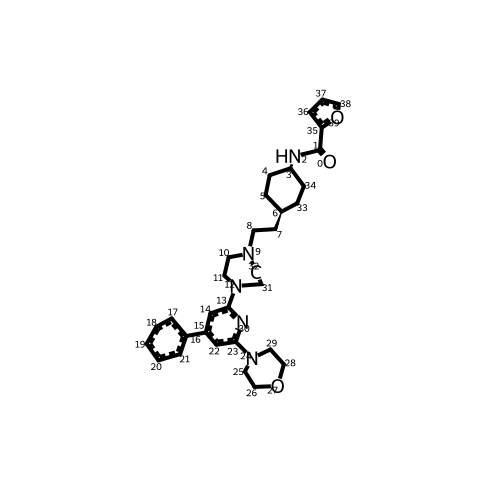 O=C(N[C@H]1CC[C@H](CCN2CCN(c3cc(-c4ccccc4)cc(N4CCOCC4)n3)CC2)CC1)c1ccco1